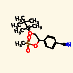 CC(C)(C)[Si](C)(C)OCC(OS(C)(=O)=O)c1ccc(C#N)cc1